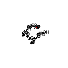 C=C1C(=CC=C2CCC[C@]3(C)C([C@H](C)OCC(=O)O)=CCC23)C[C@@H](O[Si](C)(C)C(C)(C)C)C[C@@H]1O[Si](C)(C)C(C)(C)C.C=C1C(=CC=C2CCC[C@]3(C)C([C@H](C)OCC(=O)OC4C5CC6CC(C5)CC4C6)=CC[C@@H]23)C[C@@H](O[Si](C)(C)C(C)(C)C)C[C@@H]1O[Si](C)(C)C(C)(C)C